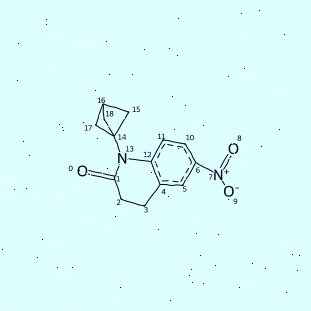 O=C1CCc2cc([N+](=O)[O-])ccc2N1C12CC(C1)C2